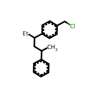 CCC(CC(C)c1ccccc1)c1ccc(CCl)cc1